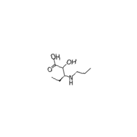 CCCN[C@@H](CC)C(O)C(=O)O